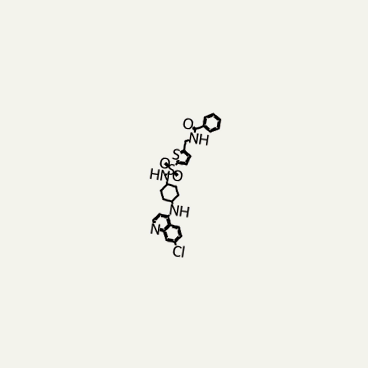 O=C(NCc1ccc(S(=O)(=O)NC2CCC(Nc3ccnc4cc(Cl)ccc34)CC2)s1)c1ccccc1